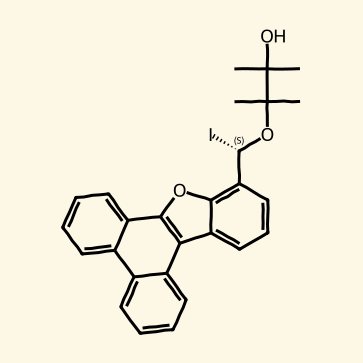 CC(C)(O)C(C)(C)O[C@@H](I)c1cccc2c1oc1c3ccccc3c3ccccc3c21